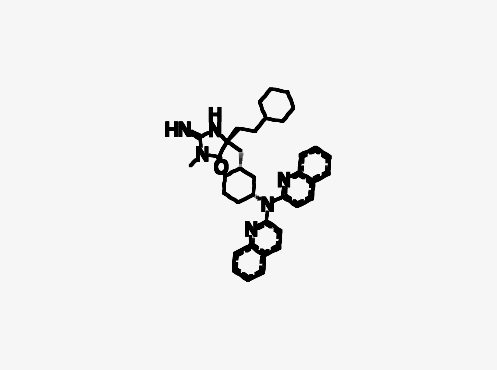 CN1C(=N)N[C@](CCC2CCCCC2)(C[C@H]2CCC[C@@H](N(c3ccc4ccccc4n3)c3ccc4ccccc4n3)C2)C1=O